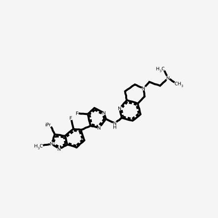 CC(C)c1c2c(F)c(-c3nc(Nc4ccc5c(n4)CCN(CCN(C)C)C5)ncc3F)ccc2nn1C